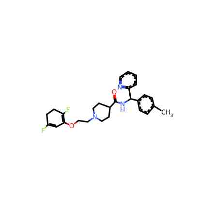 Cc1ccc(C(NC(=O)C2CCN(CCOC3=C(F)CCC(F)=C3)CC2)c2ccccn2)cc1